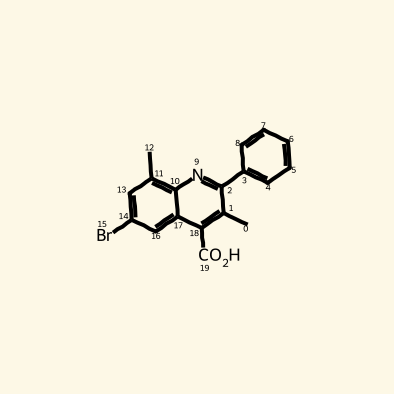 Cc1c(-c2ccccc2)nc2c(C)cc(Br)cc2c1C(=O)O